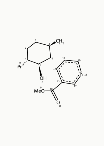 CC(C)[C@@H]1CC[C@@H](C)C[C@H]1O.COC(=O)c1cccnc1